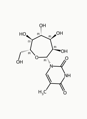 Cc1cn([C@@H]2O[C@H](CO)[C@@H](O)[C@H](O)[C@@H](O)[C@H]2O)c(=O)[nH]c1=O